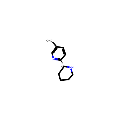 O=Cc1ccc([C@H]2CCCCN2)nc1